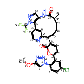 CCOc1cn(-c2ccc(Cl)cc2-c2ccc([C@@H]3CCC[C@H](C)C(=O)Nc4cnn(C(F)F)c4-c4ccnc3c4)c(=O)o2)nn1